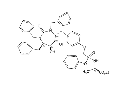 CCOC(=O)[C@@H](C)NP(=O)(COc1ccc(C[C@@H]2[C@H](O)[C@@H](O)[C@@H](Cc3ccccc3)N(Cc3ccccc3)C(=O)N2Cc2ccccc2)cc1)Oc1ccccc1